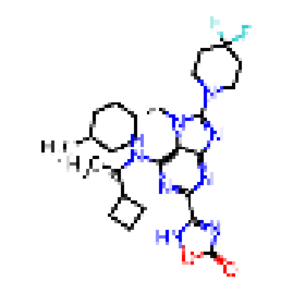 C[C@@H](Nc1nc(-c2nc(=O)o[nH]2)nc2nc(N3CCC(F)(F)CC3)n(C[C@H]3CC[C@H](C)CC3)c12)C1CCC1